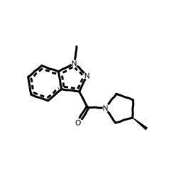 C[C@@H]1CCN(C(=O)c2nn(C)c3ccccc23)C1